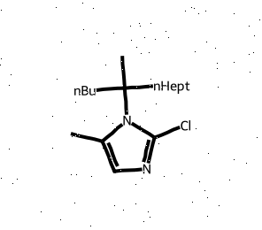 CCCCCCCC(C)(CCCC)n1c(C)cnc1Cl